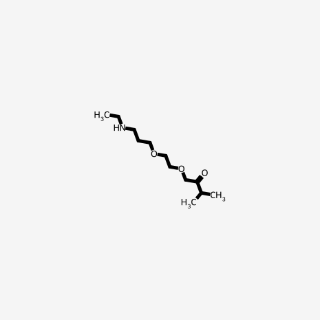 CCNCCCOCCOCC(=O)C(C)C